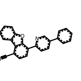 N#Cc1ccc(-c2ccc(-c3ccccc3)cn2)c2oc3ccccc3c12